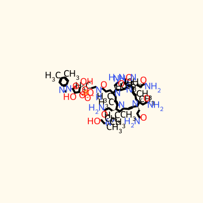 C/C1=C2N=C(/C=C3N=C(/C(C)=C4/[C@@H](CCC(N)=O)[C@](C)(CC(N)=O)[C@](C)([C@@H]5N=C1[C@](C)(CCC(=O)NCC(C)OP(=O)([O-])O[C@H]1[C@@H](O)[C@@H](n6cnc7cc(C)c(C)cc76)O[C@@H]1CO)[C@H]5CC(N)=O)[N]4[Co+][C]#N)[C@@](C)(CC(N)=O)[C@@H]\3CCC(N)=O)C(C)(C)[C@@H]/2CCC(N)=O.C[N+](C)(C)CCO